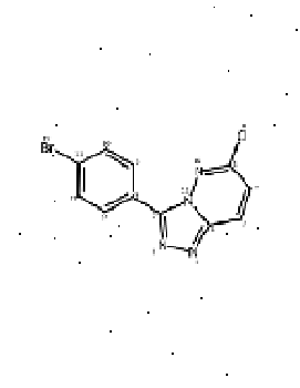 Clc1ccc2nnc(-c3ccc(Br)cc3)n2n1